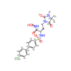 CN1C(=O)N(CC[C@@H](NS(=O)(=O)c2ccc(-c3ccc(Cl)cc3)cc2)C(=O)NO)C(=O)C1(C)C